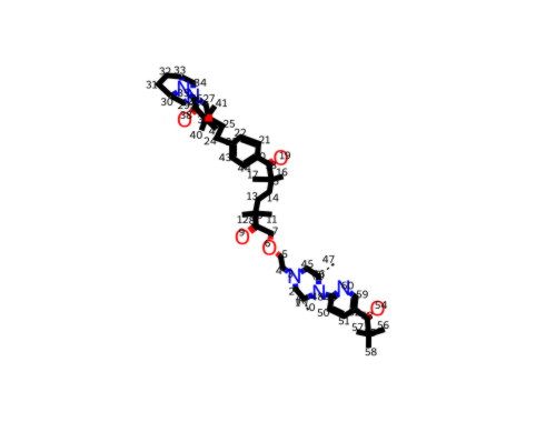 C[C@@H]1CN(CCOCC(=O)C(C)(C)CCC(C)(C)C(=O)c2ccc(CCCCN3CC4CCC(C3)N4CC(=O)C(C)(C)C)cc2)C[C@H](C)N1c1ccc(C(=O)C(C)(C)C)cn1